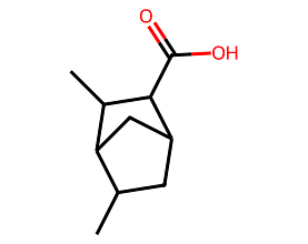 CC1CC2CC1C(C)C2C(=O)O